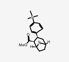 COC(=O)[C@H]1[C@@H](c2ccc([Si](C)(C)C)cc2)C[C@@H]2CC[C@H]1N2C